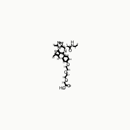 CCNC(=O)C[C@@H]1N=C(c2ccc(OCCOCCOCC(=O)O)cc2)c2c(sc(C)c2C)-n2c(C)nnc21